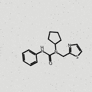 O=C(Nc1ccccc1)N(Cc1nccs1)C1CCCC1